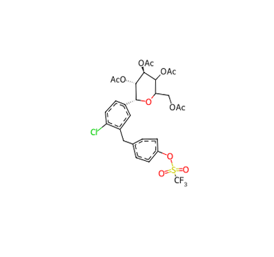 CC(=O)OCC1O[C@H](c2ccc(Cl)c(Cc3ccc(OS(=O)(=O)C(F)(F)F)cc3)c2)[C@H](OC(C)=O)[C@@H](OC(C)=O)C1OC(C)=O